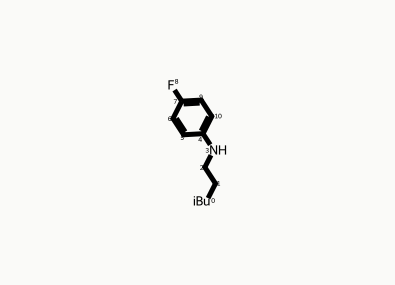 CCC(C)[CH]CNc1ccc(F)cc1